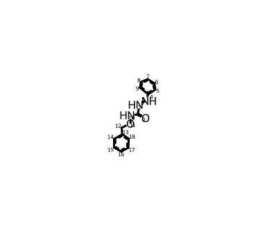 O=C(NNc1ccccc1)NOCc1ccccc1